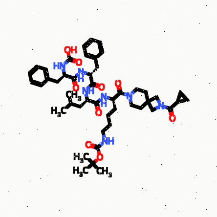 CC(C)C[C@@H](NC(=O)[C@@H](Cc1ccccc1)NC(=O)[C@@H](Cc1ccccc1)NC(=O)O)C(=O)N[C@H](CCCCNC(=O)OC(C)(C)C)C(=O)N1CCC2(CC1)CN(C(=O)C1CC1)C2